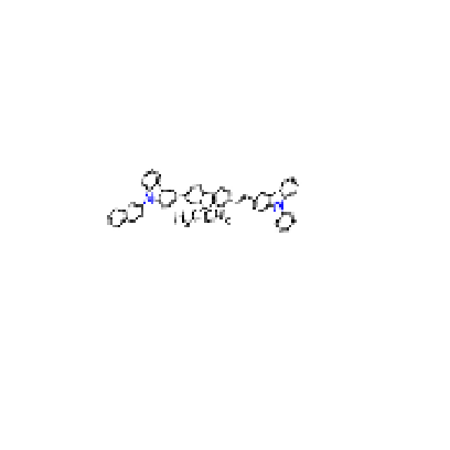 CC1(C)c2cc(/C=C/c3ccc4c(c3)c3ccccc3n4-c3ccccc3)ccc2-c2ccc(-c3ccc4c(c3)c3ccccc3n4-c3ccc4ccccc4c3)cc21